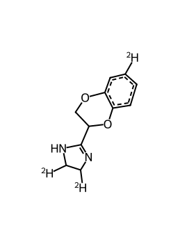 [2H]c1ccc2c(c1)OCC(C1=NC([2H])C([2H])N1)O2